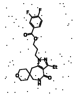 CCc1nn(CCCOC(=O)c2ccc(F)c(F)c2)c2c1C(=O)NCC1(CCOCC1)C2